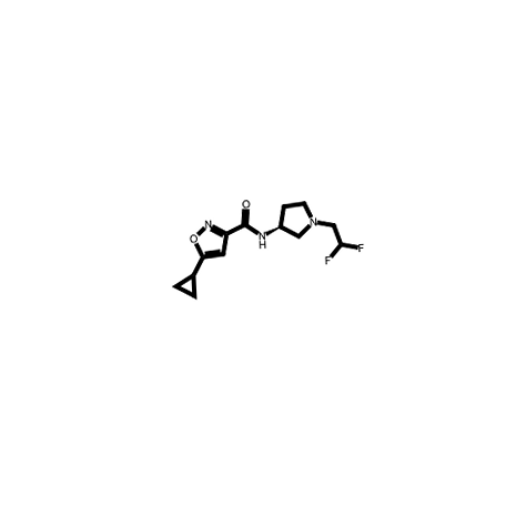 O=C(N[C@H]1CCN(CC(F)F)C1)c1cc(C2CC2)on1